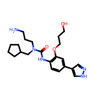 NCCCN(CC1CCCC1)C(=O)Nc1ccc(-c2cn[nH]c2)cc1OCCCO